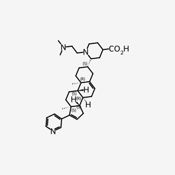 CN(C)CCN1CCC(C(=O)O)CC1[C@H]1CC[C@@]2(C)C(=CC[C@@H]3[C@@H]2CC[C@]2(C)C(c4cccnc4)=CC[C@@H]32)C1